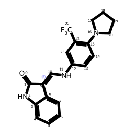 O=C1Nc2ccccc2/C1=C\Nc1ccc(N2CCCC2)c(C(F)(F)F)c1